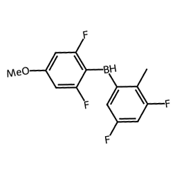 COc1cc(F)c(Bc2cc(F)cc(F)c2C)c(F)c1